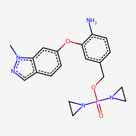 Cn1ncc2ccc(Oc3cc(COP(=O)(N4CC4)N4CC4)ccc3N)cc21